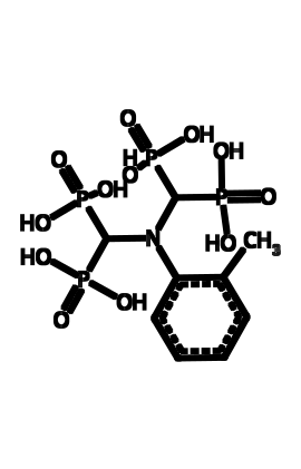 Cc1ccccc1N(C(P(=O)(O)O)P(=O)(O)O)C(P(=O)(O)O)P(=O)(O)O